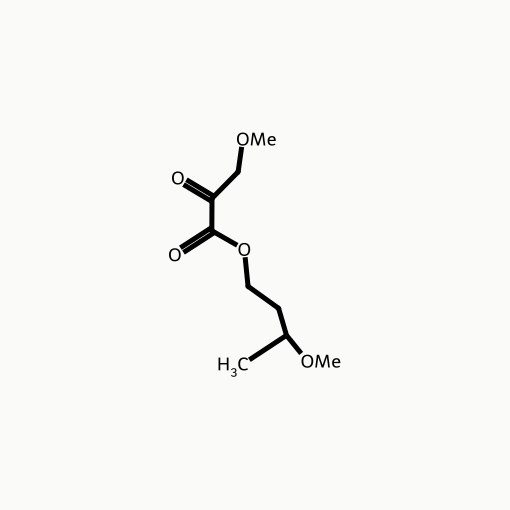 COCC(=O)C(=O)OCCC(C)OC